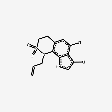 C=CCN1c2c(cc(Cl)c3c(Cl)c[nH]c23)CCS1(=O)=O